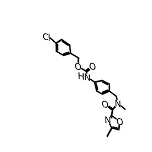 Cc1coc(C(=O)N(C)Cc2ccc(NC(=O)OCc3ccc(Cl)cc3)cc2)n1